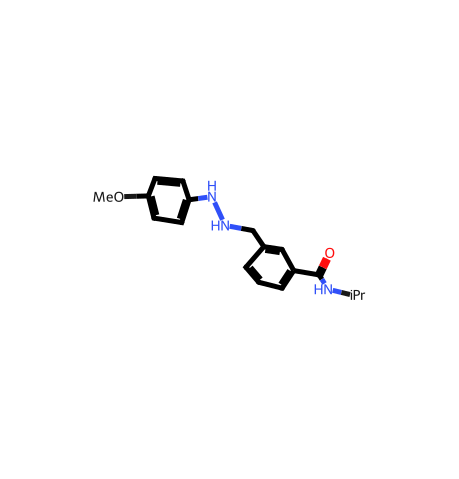 COc1ccc(NNCc2cccc(C(=O)NC(C)C)c2)cc1